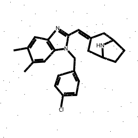 Cc1cc2nc(C=C3CC4CCC(C3)N4)n(Cc3ccc(Cl)cc3)c2cc1C